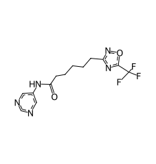 O=C(CCCCCc1noc(C(F)(F)F)n1)Nc1cncnc1